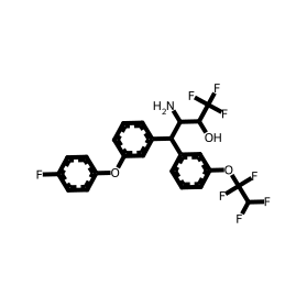 NC(C(c1cccc(Oc2ccc(F)cc2)c1)c1cccc(OC(F)(F)C(F)F)c1)C(O)C(F)(F)F